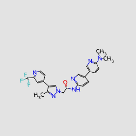 Cc1nn(CC(=O)Nc2ccc(-c3ccc(N(C)C)nc3)cn2)cc1-c1ccnc(C(F)(F)F)c1